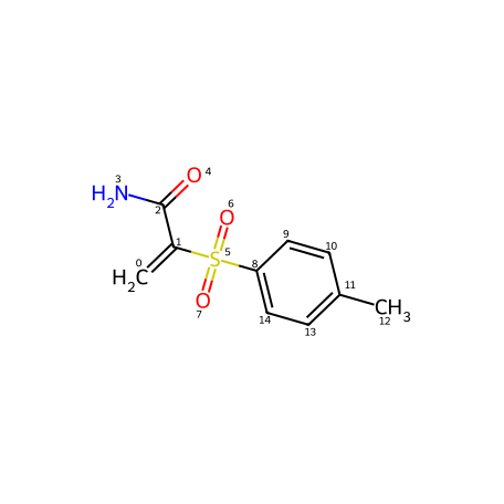 C=C(C(N)=O)S(=O)(=O)c1ccc(C)cc1